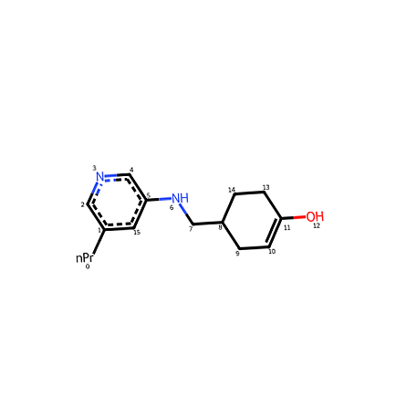 CCCc1cncc(NCC2CC=C(O)CC2)c1